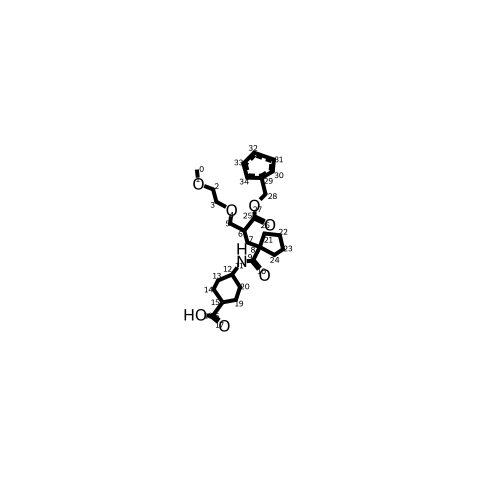 COCCOCC(CC1(C(=O)NC2CCC(C(=O)O)CC2)CCCC1)C(=O)OCc1ccccc1